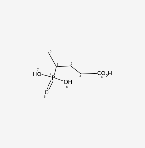 CC(CCC(=O)O)P(=O)(O)O